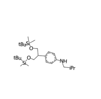 CC(C)CNc1ccc(C(CO[Si](C)(C)C(C)(C)C)CO[Si](C)(C)C(C)(C)C)cc1